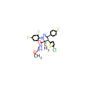 COCCNC(=O)C1(C)C(c2ccc(Cl)s2)C(c2ccc(F)cc2)=NN1c1ccc(F)cc1F